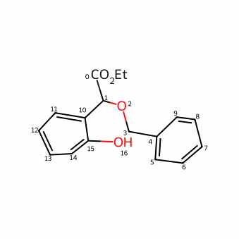 CCOC(=O)C(OCc1ccccc1)c1ccccc1O